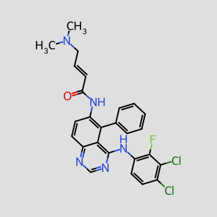 CN(C)C/C=C/C(=O)Nc1ccc2ncnc(Nc3ccc(Cl)c(Cl)c3F)c2c1-c1ccccc1